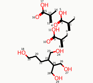 C=C(C)C(=O)O.C=C(C)C(=O)O.C=C(C)C(=O)O.OCCCC(CO)C(CO)CO